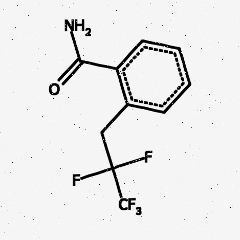 NC(=O)c1ccccc1CC(F)(F)C(F)(F)F